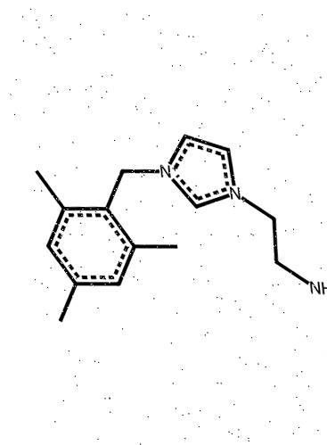 Cc1cc(C)c(C[n+]2ccn(CCN)c2)c(C)c1